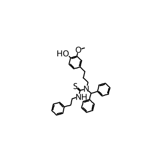 COc1cc(CCCN(C(=S)NCCc2ccccc2)C(c2ccccc2)c2ccccc2)ccc1O